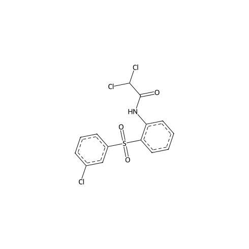 O=C(Nc1ccccc1S(=O)(=O)c1cccc(Cl)c1)C(Cl)Cl